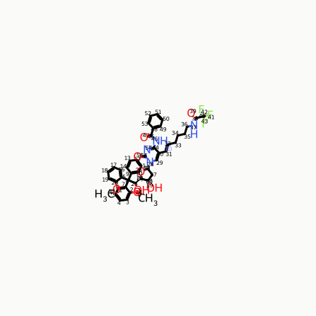 COc1ccccc1C(c1ccccc1)(c1ccccc1OC)C(O)[C@H]1O[C@@H](n2cc(/C=C/CCCCNC(=O)C(F)(F)F)c(NC(=O)c3ccccc3)nc2=O)C[C@@H]1O